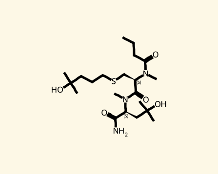 CCCC(=O)N(C)[C@H](CSCCCC(C)(C)O)C(=O)N(C)[C@@H](CC(C)(C)O)C(N)=O